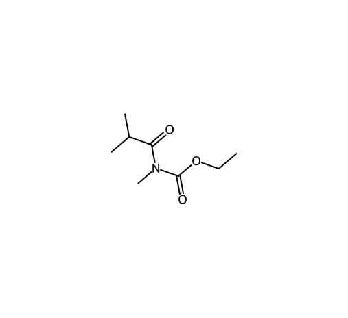 CCOC(=O)N(C)C(=O)C(C)C